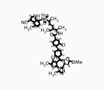 C=C/C(=C\C=C(/C)S(=O)(=O)Nc1ccc(C)c2c(C#N)c[nH]c12)[C@@H](C)NC(=O)c1ccc(-c2ccc(C3=N[C@@H](CC(=O)OC)c4nnc(C)n4-c4sc(C)c(C)c43)cc2)c(Cl)c1